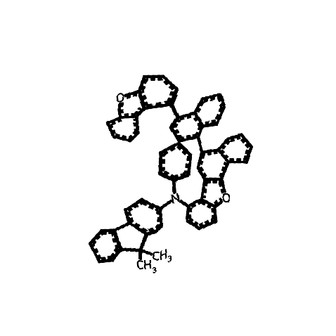 CC1(C)c2ccccc2-c2ccc(N(c3ccccc3)c3cccc4oc5c6ccccc6c(-c6ccc(-c7cccc8oc9ccccc9c78)c7ccccc67)cc5c34)cc21